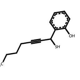 CCCCC#CC(S)c1ccccc1O